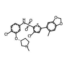 Cc1cc2c(cc1-c1cc(Cl)c(S(=O)(=O)Nc3ccc(Cl)c(O[C@@H]4CCN(C)C4)c3)s1)OCO2